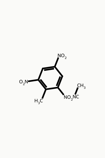 CC#N.Cc1c([N+](=O)[O-])cc([N+](=O)[O-])cc1[N+](=O)[O-]